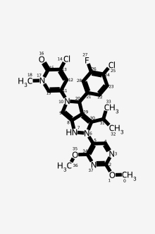 COc1ncc(N2NC3=CN(c4cc(Cl)c(=O)n(C)c4)C(c4ccc(Cl)c(F)c4)C3=C2C(C)C)c(OC)n1